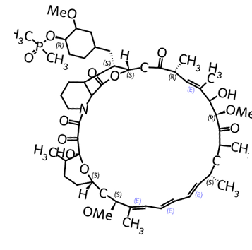 COC1CC(C[C@H]2C3CCCN4C(=O)C(=O)C5(O)O[C@@H](CCC5C)C[C@H](OC)/C(C)=C/C=C/C=C/[C@@H](C)CC(C)C(=O)[C@H](OC)C(O)/C(C)=C/[C@@H](C)C(=O)C[C@@H]2OC(=O)C34)CC[C@H]1OP(C)(C)=O